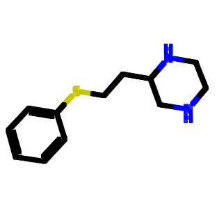 c1ccc(SCCC2CNCCN2)cc1